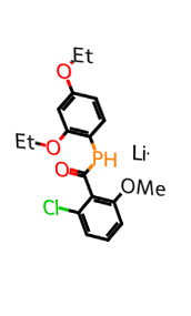 CCOc1ccc(PC(=O)c2c(Cl)cccc2OC)c(OCC)c1.[Li]